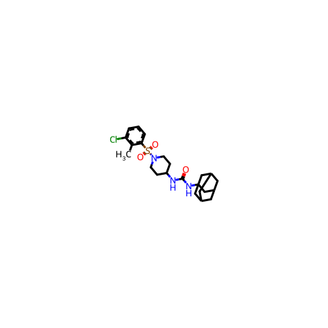 Cc1c(Cl)cccc1S(=O)(=O)N1CCC(NC(=O)NC23CC4CC(CC(C4)C2)C3)CC1